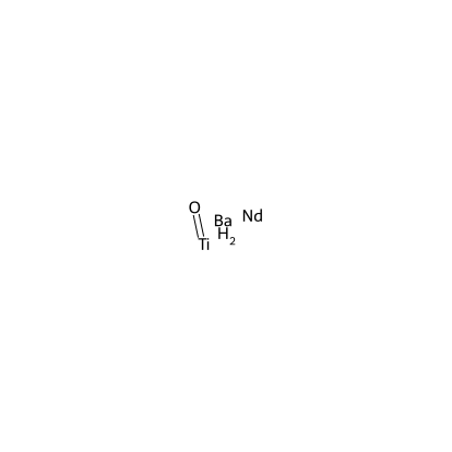 [BaH2].[Nd].[O]=[Ti]